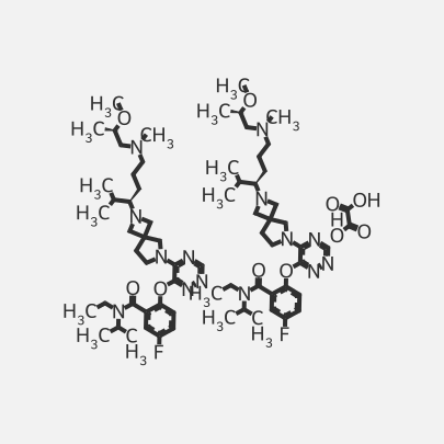 CCN(C(=O)c1cc(F)ccc1Oc1nncnc1N1CCC2(C1)CN([C@H](CCCN(C)C[C@@H](C)OC)C(C)C)C2)C(C)C.CCN(C(=O)c1cc(F)ccc1Oc1nncnc1N1CCC2(C1)CN([C@H](CCCN(C)C[C@@H](C)OC)C(C)C)C2)C(C)C.O=C(O)C(=O)O